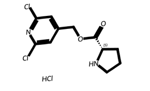 Cl.O=C(OCc1cc(Cl)nc(Cl)c1)[C@@H]1CCCN1